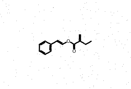 C=C(CC)C(=O)OC=Cc1ccccc1